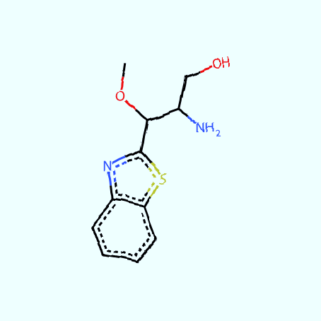 COC(c1nc2ccccc2s1)C(N)CO